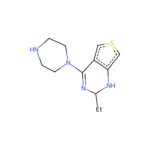 CCC1N=C(N2CCNCC2)c2cscc2N1